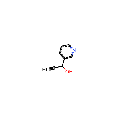 C#CC(O)c1cccnc1